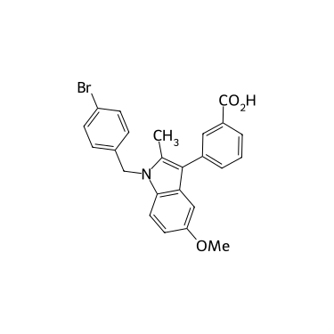 COc1ccc2c(c1)c(-c1cccc(C(=O)O)c1)c(C)n2Cc1ccc(Br)cc1